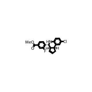 COC(=O)c1ccc([C@@H]2Nc3ccc(Cl)cc3[C@@H]3CC=C[C@@H]32)c(F)c1